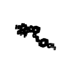 CN1CCN(CCOc2cccc3c2CN(c2cn[nH]c(=O)c2C(F)(F)F)C3)CC1